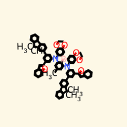 Cc1cc2c3c(c1)N(c1cc(-c4ccc5c(c4)C(C)(C)c4ccccc4-5)cc(-c4cc5ccccc5o4)c1)c1cc4c(cc1B3c1cc3c(cc1N2c1cc(-c2ccc5c(c2)C(C)(C)c2ccccc2-5)cc(-c2cc5ccccc5o2)c1)OCCO3)OCCO4